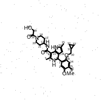 COc1cc(C2NC(C)=C(C(=O)NC3CCN(C(=O)CO)CC3)c3[nH]c(C)cc32)c(OCC2CC2)cc1F